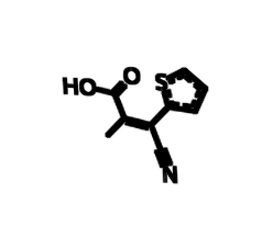 CC(C(=O)O)=C(C#N)c1cccs1